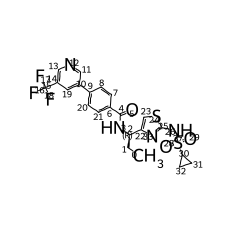 CC[C@@H](NC(=O)c1ccc(-c2cncc(C(F)(F)F)c2)cc1)c1csc(NS(=O)(=O)C2CC2)n1